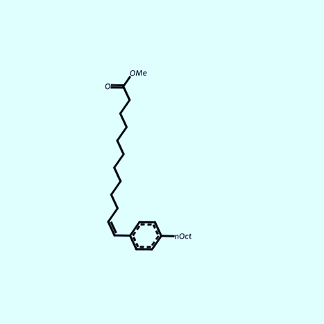 CCCCCCCCc1ccc(/C=C\CCCCCCCCCC(=O)OC)cc1